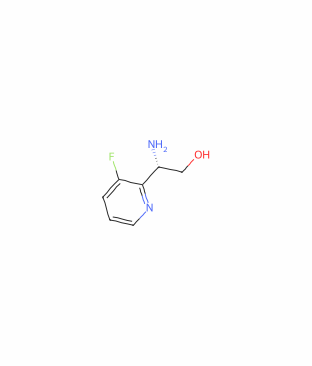 N[C@H](CO)c1ncccc1F